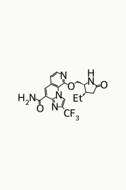 CC[C@@H]1CC(=O)N[C@@H]1COc1nccc2cc(C(N)=O)c3nc(C(F)(F)F)cn3c12